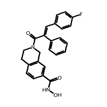 O=C(NO)c1ccc2c(c1)CN(C(=O)C(=Cc1ccc(F)cc1)c1ccccc1)CC2